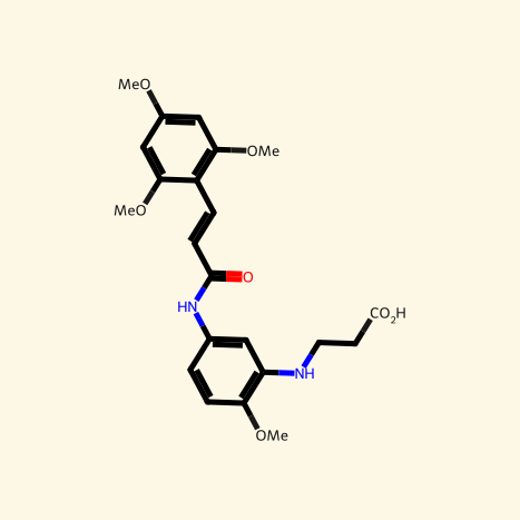 COc1cc(OC)c(C=CC(=O)Nc2ccc(OC)c(NCCC(=O)O)c2)c(OC)c1